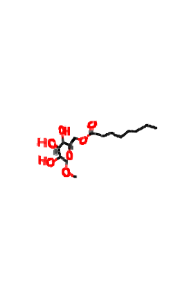 CCCCCCCC(=O)OC[C@H]1OC(OC)C(O)[C@@H](O)C1O